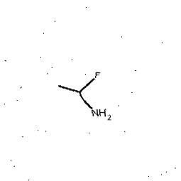 CC(N)F